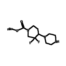 CCCCOC(=O)N1CCC(N2CCNCC2)C(F)(F)C1